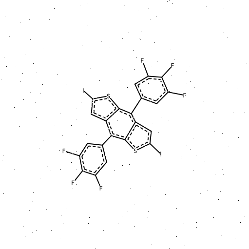 Fc1cc(-c2c3cc(I)sc3c(-c3cc(F)c(F)c(F)c3)c3cc(I)sc23)cc(F)c1F